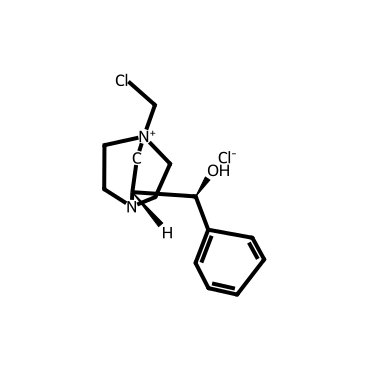 O[C@@H](c1ccccc1)[C@H]1C[N+]2(CCl)CCN1CC2.[Cl-]